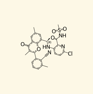 Cc1cc([C@@H](C)Nc2ccc(Cl)nc2C(=O)NS(C)(=O)=O)c2oc(-c3cccc(C)c3C#N)c(C)c(=O)c2c1